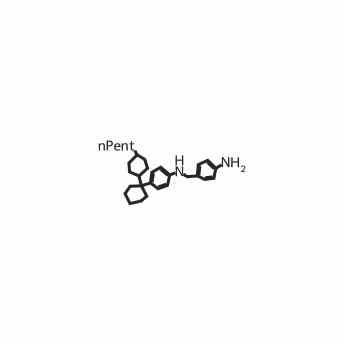 CCCCCC1CCC(C2(c3ccc(NCc4ccc(N)cc4)cc3)CCCCC2)CC1